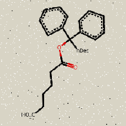 CCCCCCCCCCC(OC(=O)CCCCC(=O)O)(c1ccccc1)c1ccccc1